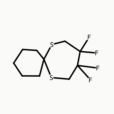 FC1(F)CSC2(CCCCC2)SCC1(F)F